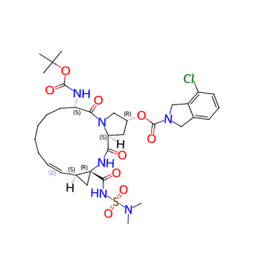 CN(C)S(=O)(=O)NC(=O)[C@@]12C[C@H]1/C=C\CCCCC[C@H](NC(=O)OC(C)(C)C)C(=O)N1C[C@H](OC(=O)N3Cc4cccc(Cl)c4C3)C[C@H]1C(=O)N2